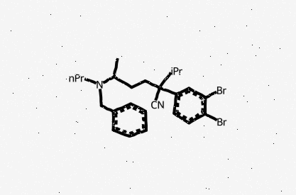 CCCN(Cc1ccccc1)C(C)CCC(C#N)(c1ccc(Br)c(Br)c1)C(C)C